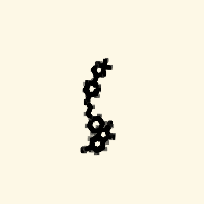 CC1(C)OCC(c2ncc(OCCN3CCC4(CC3)C(=O)Nc3ccc(Cl)cc34)cn2)O1